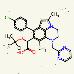 Cc1c([C@H](OC(C)(C)C)C(=O)O)c(-c2ccc(Cl)cc2)c2cc(C)n3c2c1N(Cc1ncccn1)CC3